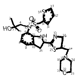 CC(C)(O)CN(c1cccc2c1NC(C1=NCC(CN3CCOCC3)S1)C2)S(=O)(=O)c1cccs1